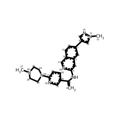 C=C(Nc1cc2cc(-c3cnn(C)c3)ccc2cn1)c1ccc(N2CCN(C)CC2)nc1